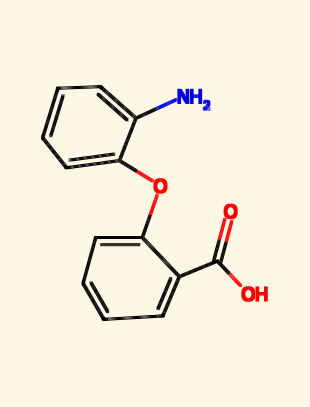 Nc1ccccc1Oc1ccccc1C(=O)O